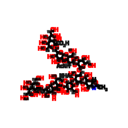 CC(=O)NC1[C@H](OC2C(O)[C@H](O)[C@H](CO)C[C@@H]2O[C@@H]2C(O)[C@H](O[C@@H]3C(CO)O[C@H]4OC(C)=NC4[C@H]3O)OC(CO[C@H]3OC(CO)[C@@H](O)[C@H](O)C3O[C@@H]3OC(CO)[C@@H](O[C@@H]4OC(CO[C@]5(C(=O)O)O[C@@H](CO)[C@@H](O)C([C@H](O)[C@H](O)CO)C5O)[C@H](O)[C@H](O)C4O)[C@H](O)C3NC(C)=O)[C@H]2O)OC(CO)[C@@H](O[C@@H]2OC(CO[C@]3(C(=O)O)O[C@@H](CO)[C@@H](O)C([C@H](O)[C@H](O)CO)C3O)[C@H](O)[C@H](O)C2O)[C@@H]1O